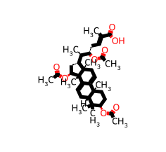 CC(=O)O[C@@H](C/C=C(\C)C(=O)O)[C@@H](C)[C@H]1C[C@H](OC(C)=O)[C@@]2(C)C3=CC[C@H]4C(C)(C)[C@H](OC(C)=O)CC[C@]4(C)C3=CC[C@]12C